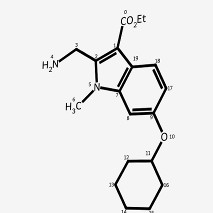 CCOC(=O)c1c(CN)n(C)c2cc(OC3CCCCC3)ccc12